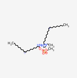 CCCCCCCC/C=C\CCCCCCCCC1=[N+](NC(=O)CCCCCCC/C=C\CCCCCCCC)CCN1CC.CCOS(=O)(=O)[O-]